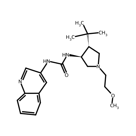 COCCN1C[C@@H](C(C)(C)C)[C@H](NC(=O)Nc2cnc3ccccc3c2)C1